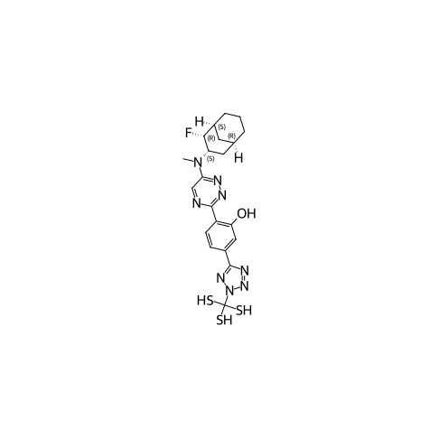 CN(c1cnc(-c2ccc(-c3nnn(C(S)(S)S)n3)cc2O)nn1)[C@H]1C[C@@H]2CCC[C@@H](C2)[C@H]1F